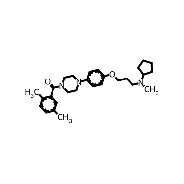 Cc1ccc(C)c(C(=O)N2CCN(c3ccc(OCCCN(C)C4CCCC4)cc3)CC2)c1